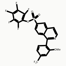 COc1cc(C(F)(F)F)ccc1-c1nccc2cc(S(=O)(=O)Oc3c(F)c(F)c(F)c(F)c3F)ccc12